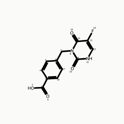 O=C(O)c1ccc(Cn2c(=O)[nH]cc(F)c2=O)cc1